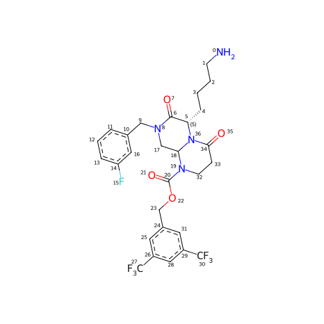 NCCCC[C@H]1C(=O)N(Cc2cccc(F)c2)CC2N(C(=O)OCc3cc(C(F)(F)F)cc(C(F)(F)F)c3)CCC(=O)N21